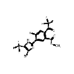 COC(=O)c1cc(-c2nc(Br)c(C(F)(F)F)[nH]2)c(F)cc1C(=O)C(F)(F)F